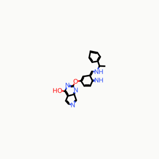 CC(N/C=C1/C=C(Oc2nc(O)c3ccncc3n2)C=CC1=N)c1ccccc1